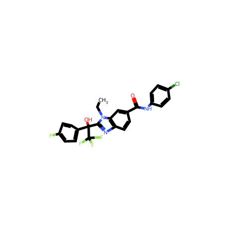 CCn1c(C(O)(c2ccc(F)cc2)C(F)(F)F)nc2ccc(C(=O)Nc3ccc(Cl)cc3)cc21